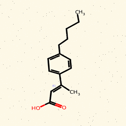 CCCCCc1ccc(/C(C)=C/C(=O)O)cc1